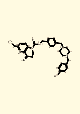 O=C1CCN(C(=O)NCc2ccc(CN3CCN(Cc4ccc(F)cc4)CC3)cc2)c2ccc(CC(F)(F)F)nc21